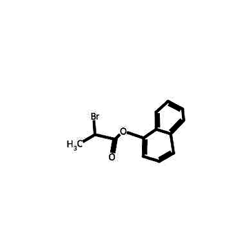 CC(Br)C(=O)Oc1cccc2ccccc12